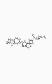 CCNC(=O)N1CC2(CCn3nc(-c4cnc5c(c4)CC(=O)N5)cc32)C1